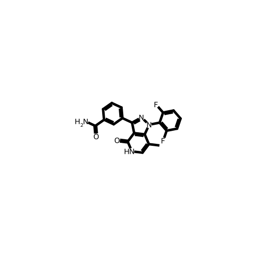 Cc1c[nH]c(=O)c2c(-c3cccc(C(N)=O)c3)nn(-c3c(F)cccc3F)c12